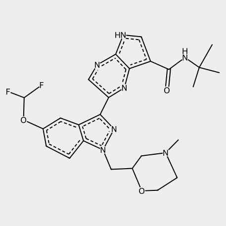 CN1CCOC(Cn2nc(-c3cnc4[nH]cc(C(=O)NC(C)(C)C)c4n3)c3cc(OC(F)F)ccc32)C1